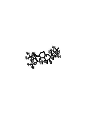 [2H]c1c2c(c([2H])c(OC([2H])([2H])[2H])c1OC([2H])([2H])[2H])C1N(CC2)CC([2H])(C([2H])([2H])C([2H])(C([2H])([2H])[2H])C([2H])([2H])C)C(=O)C1([2H])[2H]